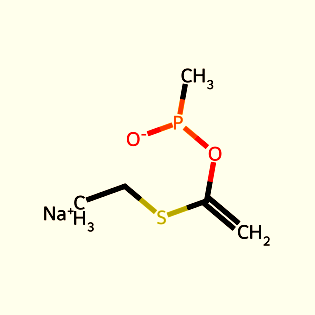 C=C(OP(C)[O-])SCC.[Na+]